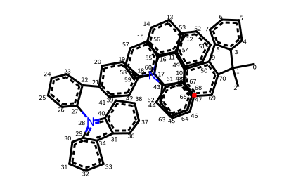 CC1(C)c2ccccc2-c2c(-c3ccccc3N(c3ccc(-c4ccccc4-n4c5ccccc5c5ccccc54)cc3)c3ccccc3-c3ccccc3-c3ccccc3-c3ccccc3)cccc21